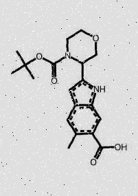 Cc1cc2cc(C3COCCN3C(=O)OC(C)(C)C)[nH]c2cc1C(=O)O